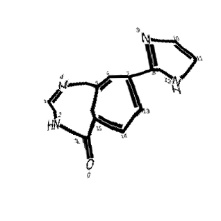 O=c1[nH]cnc2cc(-c3ncc[nH]3)ccc12